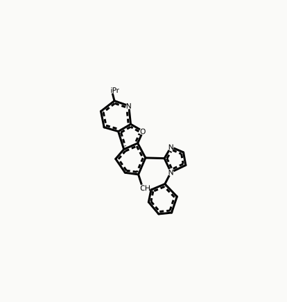 Cc1ccc2c(oc3nc(C(C)C)ccc32)c1-c1nccn1-c1ccccc1